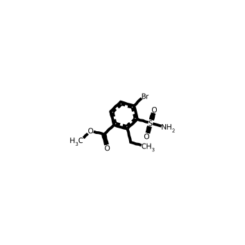 CCc1c(C(=O)OC)ccc(Br)c1S(N)(=O)=O